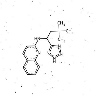 CC(C)(C)CC(Nc1ccc2ccccc2n1)c1nn[nH]n1